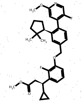 COC(=O)C[C@@H](c1cccc(OCc2ccc(-c3cc(OC)ncc3F)c([C@@H]3CCCC3(C)C)c2)c1F)C1CC1